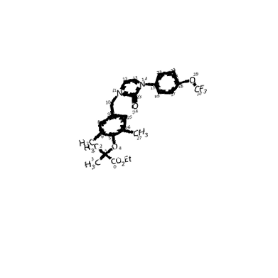 CCOC(=O)C(C)(C)Oc1c(C)cc(Cn2ccn(-c3ccc(OC(F)(F)F)cc3)c2=O)cc1C